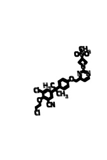 CC(C)(c1ccc(OCc2ccnc(N3CC(S(C)(=O)=O)C3)n2)cc1)c1cc(Cl)c(OCCCl)c(C#N)c1